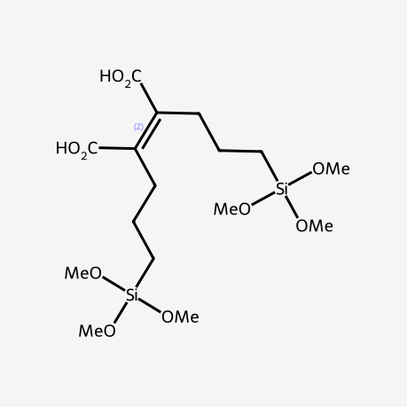 CO[Si](CCC/C(C(=O)O)=C(\CCC[Si](OC)(OC)OC)C(=O)O)(OC)OC